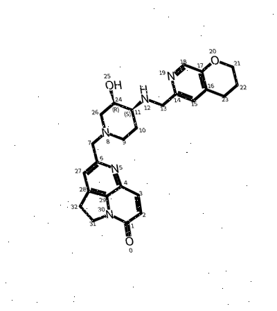 O=c1ccc2nc(CN3CC[C@H](NCc4cc5c(cn4)OCCC5)[C@H](O)C3)cc3c2n1CC3